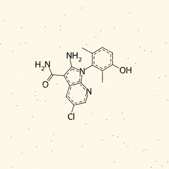 Cc1ccc(O)c(C)c1-n1c(N)c(C(N)=O)c2cc(Cl)cnc21